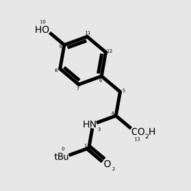 CC(C)(C)C(=O)NC(Cc1ccc(O)cc1)C(=O)O